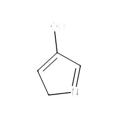 OC1=CCN=C1